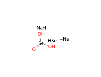 O=[Se](O)O.[NaH].[Na][SeH]